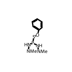 CNNP(NNC)SOc1ccccc1